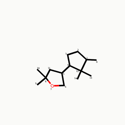 CC1CCC(C2COC(C)(C)C2)C1(C)C